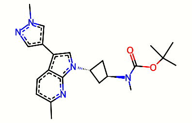 Cc1ccc2c(-c3cnn(C)c3)cn([C@H]3C[C@H](N(C)C(=O)OC(C)(C)C)C3)c2n1